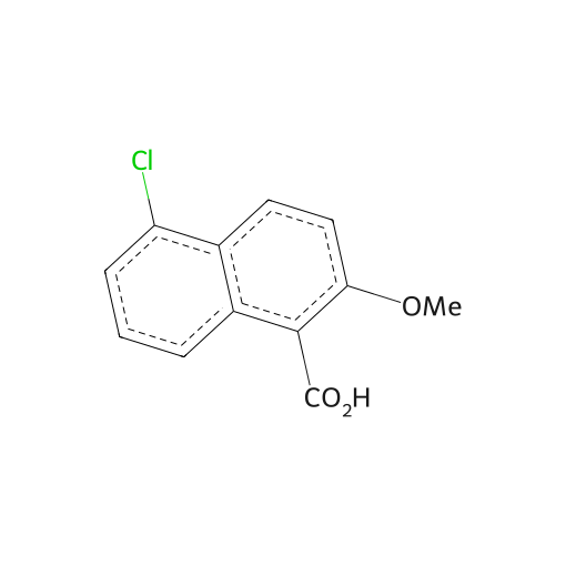 COc1ccc2c(Cl)cccc2c1C(=O)O